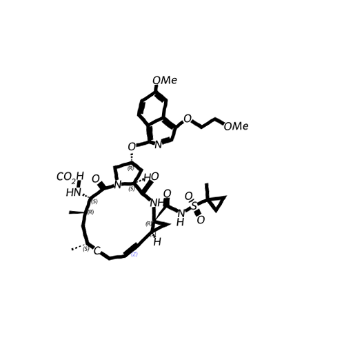 COCCOc1cnc(O[C@@H]2C[C@H]3C(=O)N[C@]4(C(=O)NS(=O)(=O)C5(C)CC5)C[C@H]4/C=C\CC[C@H](C)C[C@@H](C)[C@H](NC(=O)O)C(=O)N3C2)c2ccc(OC)cc12